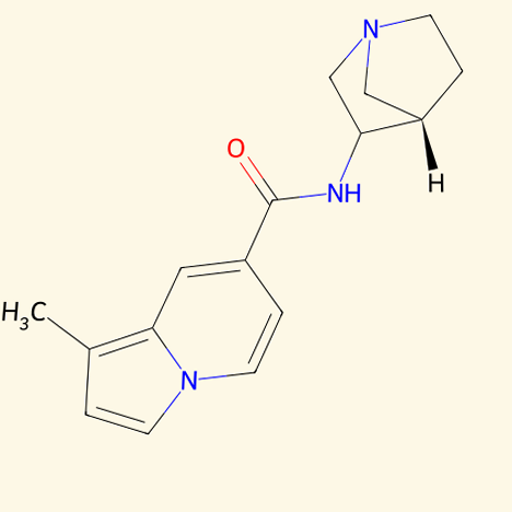 Cc1ccn2ccc(C(=O)NC3CN4CC[C@H]3C4)cc12